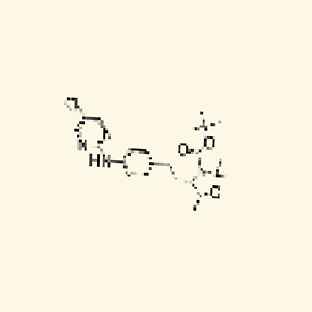 C[C@@H]1OC(C)(C)N(C(=O)OC(C)(C)C)[C@H]1CCc1ccc(Nc2ncc(Cl)cn2)cc1